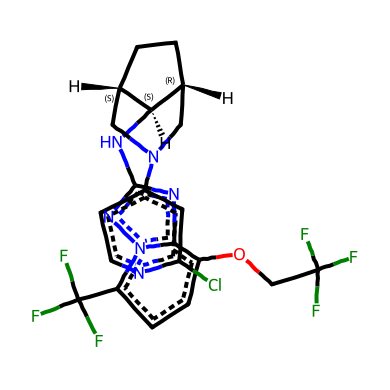 FC(F)(F)COc1ccc(C(F)(F)F)n2nc(N[C@@H]3[C@@H]4CC[C@H]3CN(c3ccnc(Cl)c3)C4)nc12